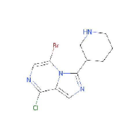 Clc1ncc(Br)n2c(C3CCCNC3)ncc12